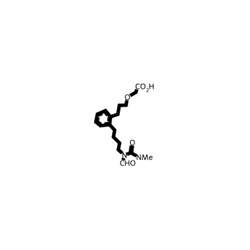 CNC(=O)N(C=O)CCCCc1ccccc1CCCOCC(=O)O